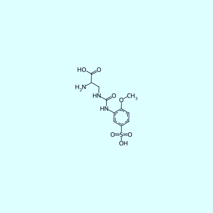 COc1ccc(S(=O)(=O)O)cc1NC(=O)NCC(N)C(=O)O